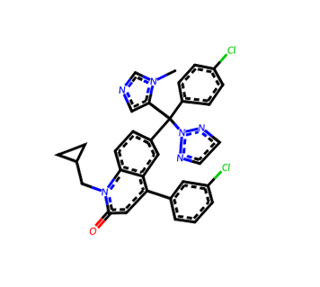 Cn1cncc1C(c1ccc(Cl)cc1)(c1ccc2c(c1)c(-c1cccc(Cl)c1)cc(=O)n2CC1CC1)n1nccn1